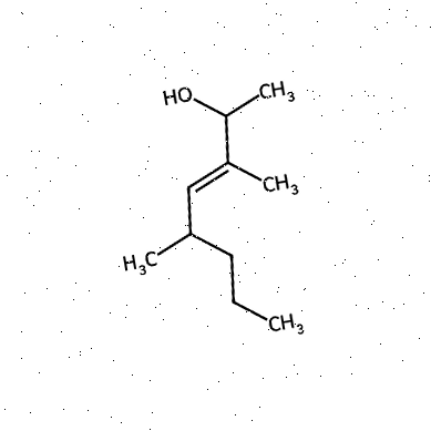 CCCC(C)/C=C(\C)C(C)O